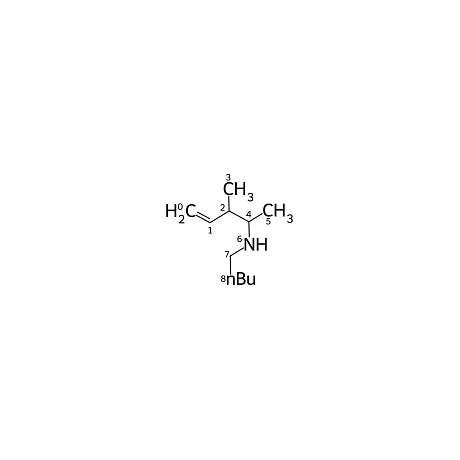 C=CC(C)C(C)NCCCCC